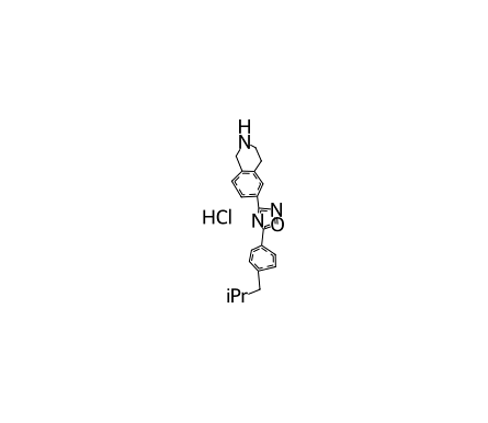 CC(C)Cc1ccc(-c2nc(-c3ccc4c(c3)CCNC4)no2)cc1.Cl